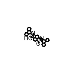 O=c1c2ccc3c4c(ccc(c42)c2nc4c5ccccc5c5ccccc5c4n12)-c1nc2c4ccccc4c4ccccc4c2n1C3O